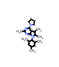 Cc1cc(C)c(-n2c(C)c(C)c3c(N4CCCC4)nc(C)nc32)c(C)c1